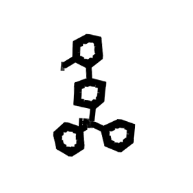 Ic1ccccc1-c1ccc([SiH](c2ccccc2)c2ccccc2)cc1